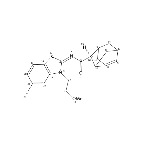 COCCn1c(=NC(=O)[C@H]2C3CC4=CC(C3)CC42)sc2ccc(F)cc21